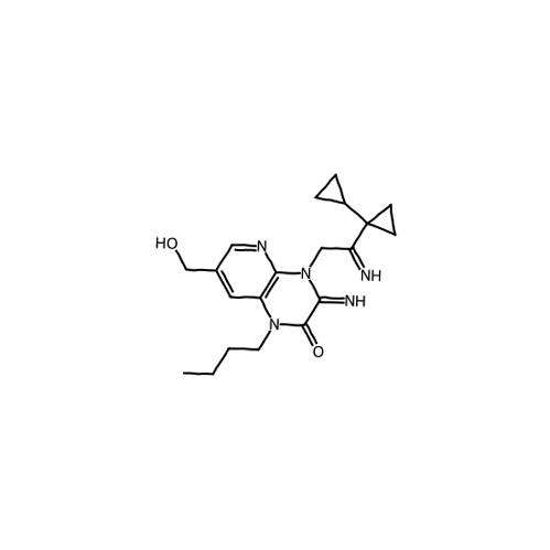 CCCCn1c(=O)c(=N)n(CC(=N)C2(C3CC3)CC2)c2ncc(CO)cc21